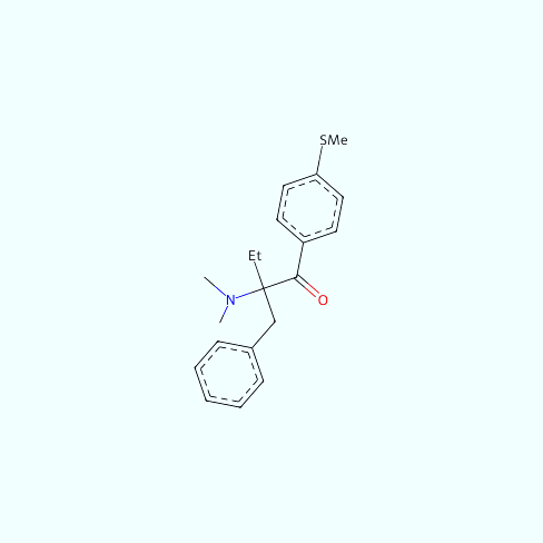 CCC(Cc1ccccc1)(C(=O)c1ccc(SC)cc1)N(C)C